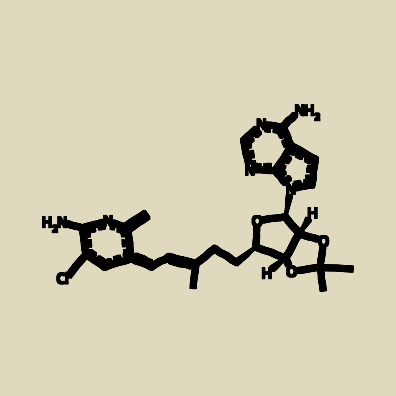 C=c1nc(N)c(Cl)c/c1=C/C=C(\C)CC[C@H]1O[C@@H](n2ccc3c(N)ncnc32)[C@@H]2OC(C)(C)O[C@@H]21